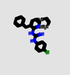 N=C(Nc1ccc(Cl)cc1)Nc1ncccc1Cc1ccccc1.O=C(O)/C=C\C(=O)O